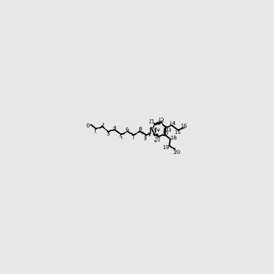 CCCCCCCCCC[n+]1ccc(CCC)c(CCC)c1